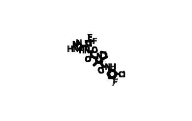 Cc1c(C(=O)Nc2ccc(F)c(Cl)c2)c2n(c1C(=O)C(=O)NC1(c3c[nH]nn3)CC(F)(F)C1)CCC2